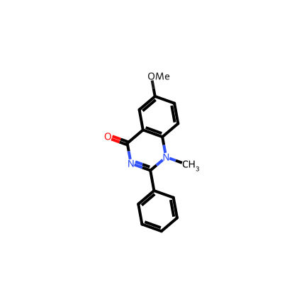 COc1ccc2c(c1)c(=O)nc(-c1ccccc1)n2C